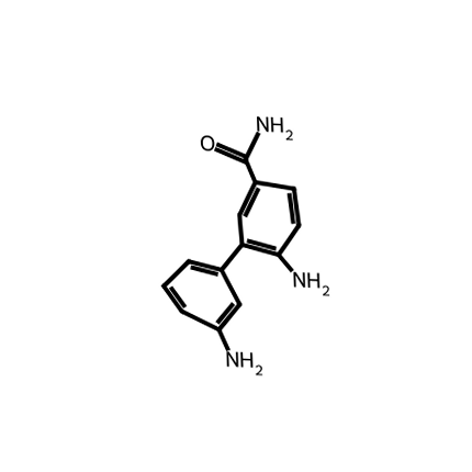 NC(=O)c1ccc(N)c(-c2cccc(N)c2)c1